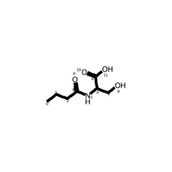 CCCC(=O)NC(CO)C(=O)O